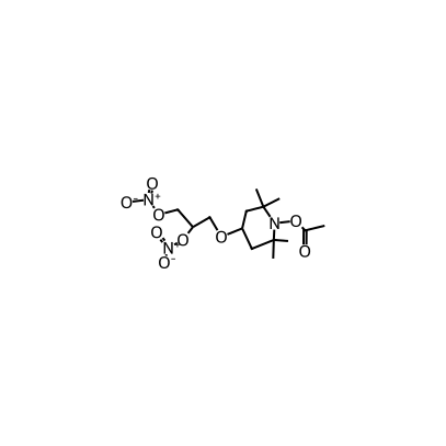 CC(=O)ON1C(C)(C)CC(OCC(CO[N+](=O)[O-])O[N+](=O)[O-])CC1(C)C